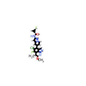 COC[C@H](C)c1c(F)c(Cl)c(-c2ccn3nc(NC(=O)[C@@H]4C[C@@H]4F)cc3c2)c2cn[nH]c12